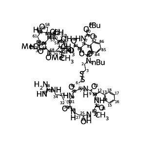 CCCCN(CCSSC[C@@H]1NC(=O)[C@@H](Cc2ccccc2)NC(=O)[C@H](C)NC(=O)CNC(=O)[C@H](CCCNC(=N)N)NC1=O)C(=O)O[C@@H](C(=O)OC1C[C@@]2(O)[C@@H](C)[C@@H]3[C@]4(C)CO[C@@H]4C[C@H](OC)[C@@]3(C)C(=O)[C@H](OC)C(=C1C)C2(C)C)C(NC(=O)OC(C)(C)C)c1ccccc1